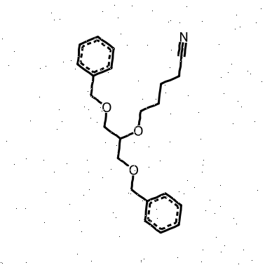 N#CCCCCOC(COCc1ccccc1)COCc1ccccc1